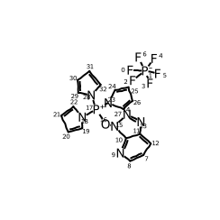 F[P-](F)(F)(F)(F)F.c1cnc2c(c1)nnn2O[P+](n1cccc1)(n1cccc1)n1cccc1